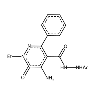 CCn1nc(-c2ccccc2)c(C(=O)NNC(C)=O)c(N)c1=O